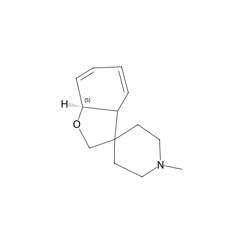 CN1CCC2(CC1)CO[C@H]1C=CC=CC12